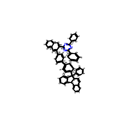 C1=CC2C(c3ccccc31)c1ccccc1C2(c1ccccc1)c1ccc(-c2ccc(-c3cc4ccccc4cc3-c3nc(-c4ccccc4)nc(-c4ccccc4)n3)cc2)cc1